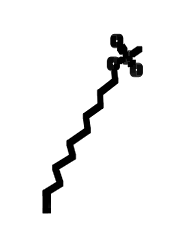 C=CCCCCCCCCCOS(C)(=O)=O